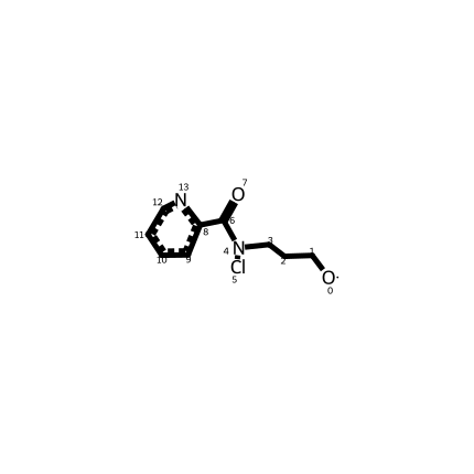 [O]CCCN(Cl)C(=O)c1ccccn1